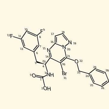 O=C(O)N[C@@H](Cc1cc(F)cc(F)c1)c1nc2ccnn2c(OCc2ccccc2)c1Br